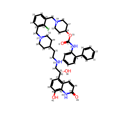 O=C(Nc1ccccc1-c1ccccc1)OC1CCN(Cc2cccc(CN3CCC(CCNC[C@H](O)c4ccc(O)c5[nH]c(=O)ccc45)CC3)c2F)CC1